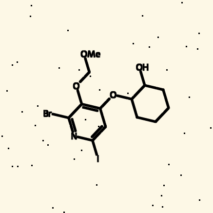 COCOc1c(OC2CCCCC2O)cc(I)nc1Br